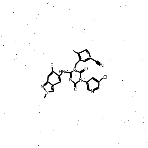 Cc1ccc(C#N)cc1Cn1c(Nc2cc3cn(C)nc3cc2F)nc(=O)n(-c2cncc(Cl)c2)c1=O